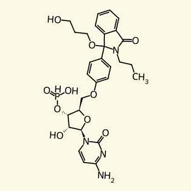 CCCN1C(=O)c2ccccc2C1(OCCCO)c1ccc(OC[C@H]2O[C@@H](n3ccc(N)nc3=O)[C@H](O)[C@@H]2O[PH](=O)O)cc1